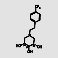 O[C@H]1[C@H](O)CN(CCc2ccc(C(F)(F)F)cc2)C[C@@H]1O